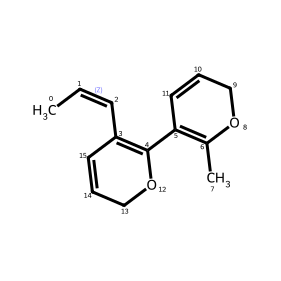 C/C=C\C1=C(C2=C(C)OCC=C2)OCC=C1